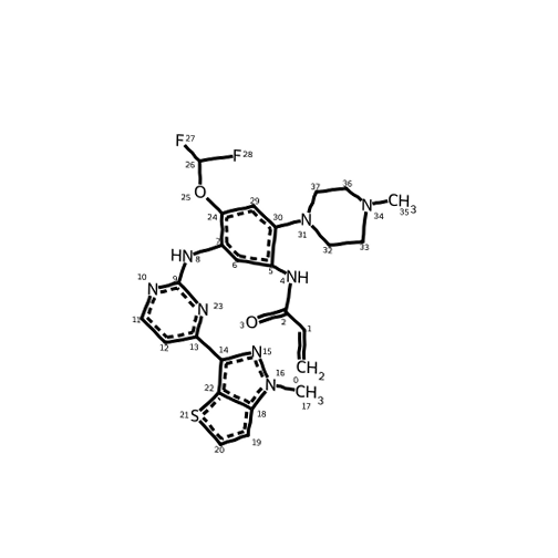 C=CC(=O)Nc1cc(Nc2nccc(-c3nn(C)c4ccsc34)n2)c(OC(F)F)cc1N1CCN(C)CC1